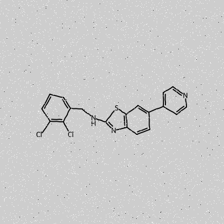 Clc1cccc(CNc2nc3ccc(-c4ccncc4)cc3s2)c1Cl